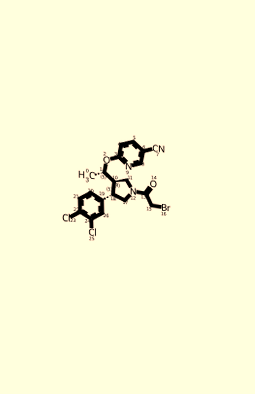 C[C@H](Oc1ccc(C#N)cn1)[C@H]1CN(C(=O)CBr)C[C@@H]1c1ccc(Cl)c(Cl)c1